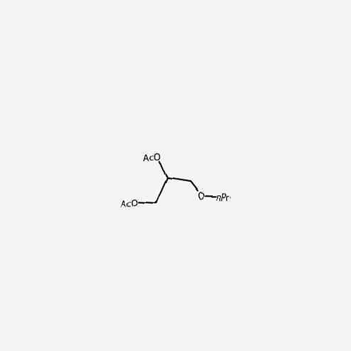 CC[CH]OCC(COC(C)=O)OC(C)=O